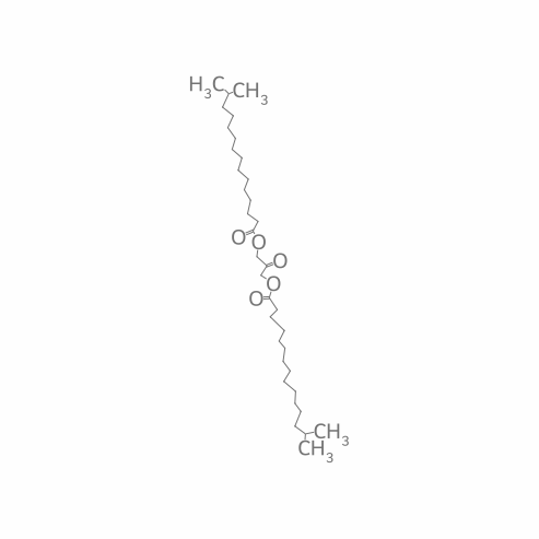 CC(C)CCCCCCCCCCCCC(=O)OCC(=O)COC(=O)CCCCCCCCCCCCC(C)C